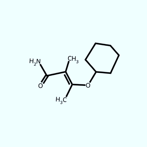 CC(OC1CCCCC1)=C(C)C(N)=O